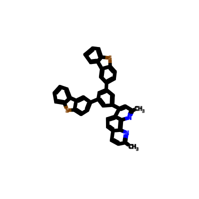 Cc1ccc2ccc3c(-c4cc(-c5ccc6sc7ccccc7c6c5)cc(-c5ccc6sc7ccccc7c6c5)c4)cc(C)nc3c2n1